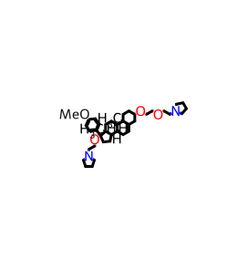 COc1ccc(C2(OCCN3CCCC3)CC[C@H]3[C@@H]4CC=C5CC(OCCOCCN6CCCC6)CC[C@]5(C)[C@@H]4CC[C@@]32C)cc1